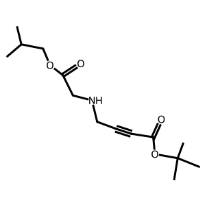 CC(C)COC(=O)CNCC#CC(=O)OC(C)(C)C